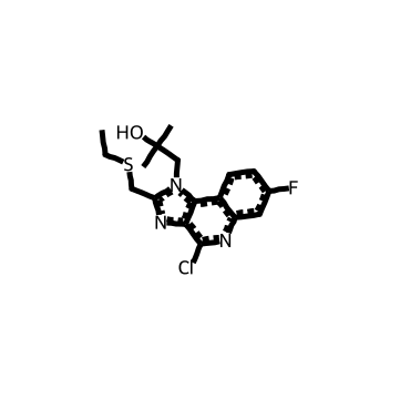 CCSCc1nc2c(Cl)nc3cc(F)ccc3c2n1CC(C)(C)O